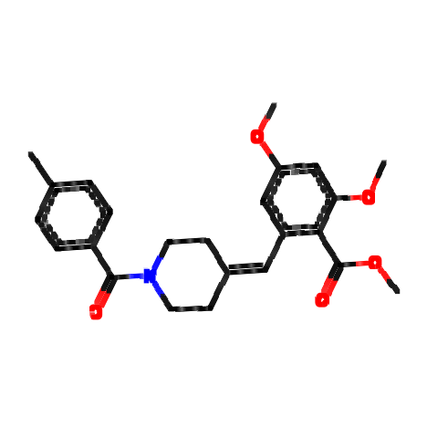 COC(=O)c1c(C=C2CCN(C(=O)c3ccc(C)cc3)CC2)cc(OC)cc1OC